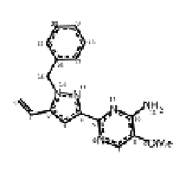 C=Cc1cc(-c2ncc(OC)c(N)n2)nn1Cc1ccccc1